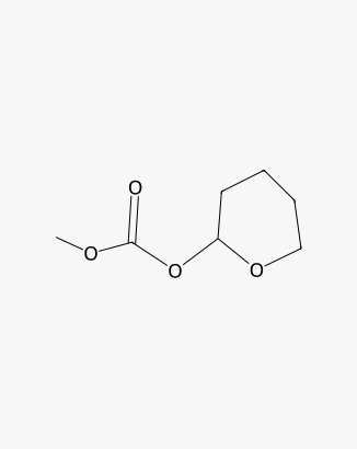 COC(=O)OC1CCCCO1